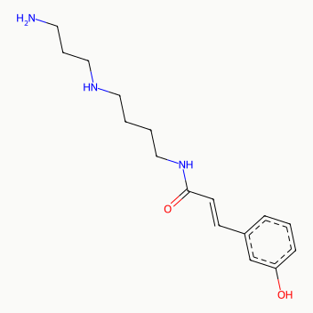 NCCCNCCCCNC(=O)/C=C/c1cccc(O)c1